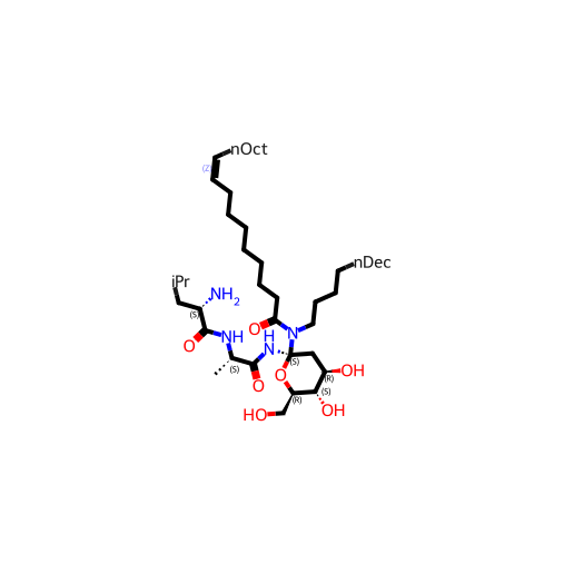 CCCCCCCC/C=C\CCCCCCCC(=O)N(CCCCCCCCCCCCCC)[C@@]1(NC(=O)[C@H](C)NC(=O)[C@@H](N)CC(C)C)C[C@@H](O)[C@H](O)[C@@H](CO)O1